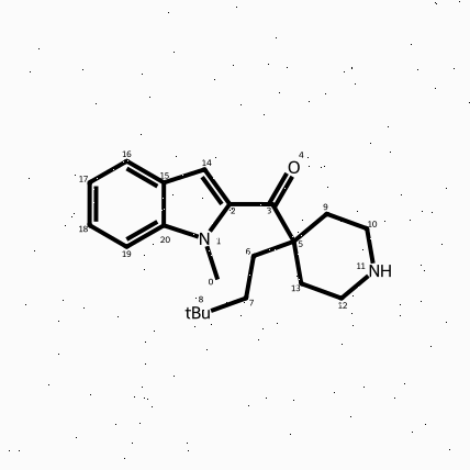 Cn1c(C(=O)C2(CCC(C)(C)C)CCNCC2)cc2ccccc21